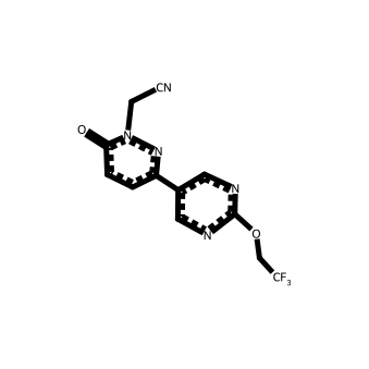 N#CCn1nc(-c2cnc(OCC(F)(F)F)nc2)ccc1=O